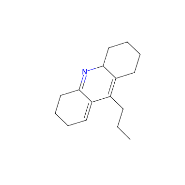 CCCC1=C2CCCCC2N=C2CCCC=C21